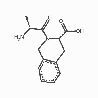 C[C@H](N)C(=O)N1Cc2ccccc2CC1C(=O)O